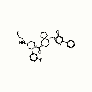 O=C(N1CC[C@@H](Cn2cnc(-c3ccccc3)cc2=O)C2(CCCC2)C1)N1CC[C@@H](NCCF)C[C@H]1c1cccc(F)c1